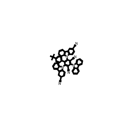 CC(C)(C)c1ccc(-c2c(-n3c4c(c5ccccc53)CC(C#N)C=C4)c(C#N)c(-n3c4ccccc4c4ccccc43)c(C#N)c2-n2c3c(c4cc(C#N)ccc42)C=CCC3)cc1